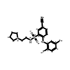 N#Cc1ccc(Oc2cc(F)ccc2F)c(S(=O)(=O)NCCN2CCCC2)c1